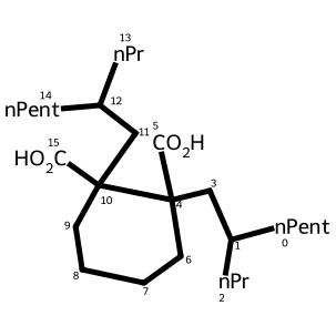 CCCCCC(CCC)CC1(C(=O)O)CCCCC1(CC(CCC)CCCCC)C(=O)O